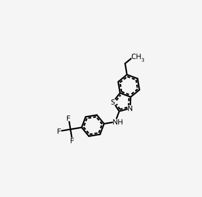 CCc1ccc2nc(Nc3ccc(C(F)(F)F)cc3)sc2c1